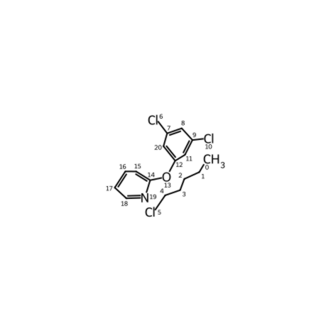 CCCCCCl.Clc1cc(Cl)cc(Oc2ccccn2)c1